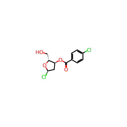 O=C(O[C@H]1C[C@@H](Cl)O[C@@H]1CO)c1ccc(Cl)cc1